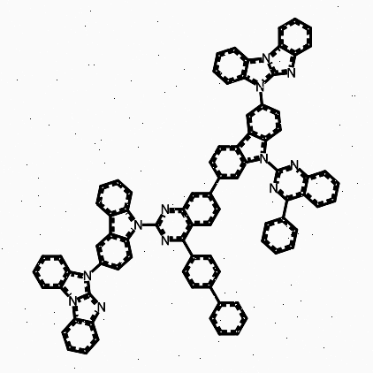 c1ccc(-c2ccc(-c3nc(-n4c5ccccc5c5cc(-n6c7ccccc7n7c8ccccc8nc67)ccc54)nc4cc(-c5ccc6c7cc(-n8c9ccccc9n9c%10ccccc%10nc89)ccc7n(-c7nc(-c8ccccc8)c8ccccc8n7)c6c5)ccc34)cc2)cc1